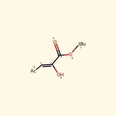 CC(=O)/C=C(\O)C(=O)OC(C)(C)C